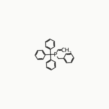 C=CP(Cc1ccccc1)C(c1ccccc1)(c1ccccc1)c1ccccc1